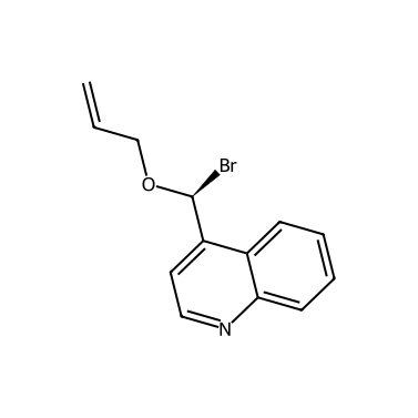 C=CCO[C@@H](Br)c1ccnc2ccccc12